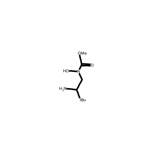 COC(=O)N(O)CC(N)C(C)(C)C